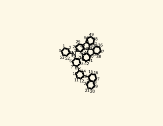 c1ccc(N(c2ccc(-c3cccc(-c4cccc5ccccc45)c3)cc2)c2ccc3c(c2)C2(c4ccccc4-c4ccccc42)c2ccccc2-3)cc1